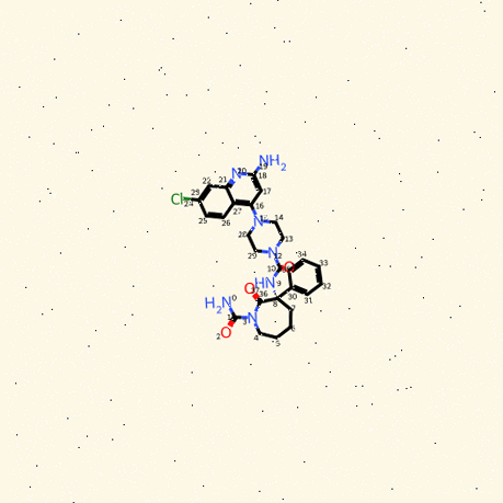 NC(=O)N1CCCC[C@](NC(=O)N2CCN(c3cc(N)nc4cc(Cl)ccc34)CC2)(c2ccccc2)C1=O